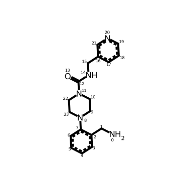 NCc1ccccc1N1CCN(C(=O)NCc2cccnc2)CC1